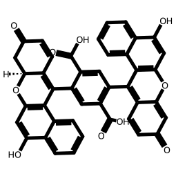 O=C1C=CC2=C(c3cc(C(=O)O)c(-c4c5ccc(=O)cc-5oc5cc(O)c6ccccc6c45)cc3C(=O)O)c3c(cc(O)c4ccccc34)O[C@H]2C1